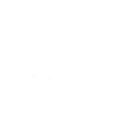 OCc1ccc2c(c1)ncn2-c1cccc(-c2ccccc2)c1